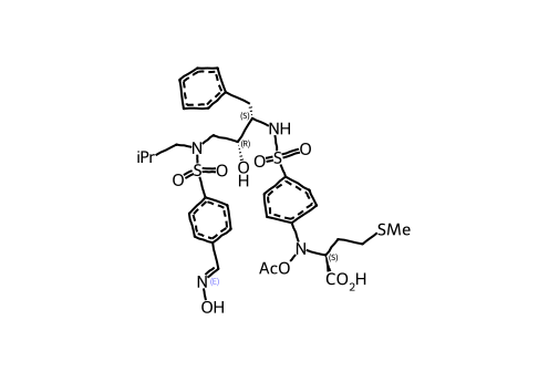 CSCC[C@@H](C(=O)O)N(OC(C)=O)c1ccc(S(=O)(=O)N[C@@H](Cc2ccccc2)[C@H](O)CN(CC(C)C)S(=O)(=O)c2ccc(/C=N/O)cc2)cc1